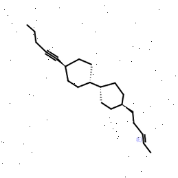 C/C=C/CC[C@H]1CC[C@H]([C@H]2CC[C@H](C#CCCC)CC2)CC1